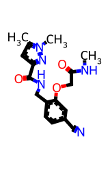 CNC(=O)COc1cc(C#N)ccc1CNC(=O)c1cc(C)n(C)n1